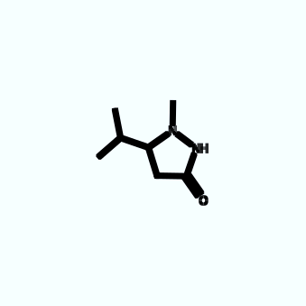 CC(C)C1CC(=O)NN1C